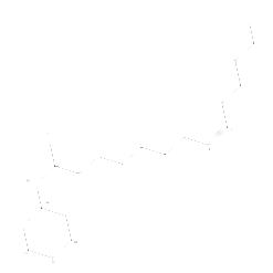 CC(CCCCCC/C=C\CCCCO)OC1CCCCO1